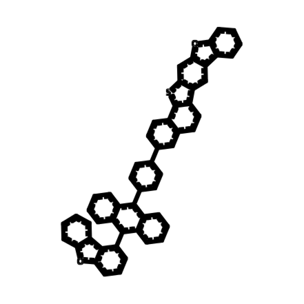 c1ccc2c(c1)oc1cc3sc4c5ccc(-c6ccc(-c7c8ccccc8c(-c8cccc9oc%10ccccc%10c89)c8ccccc78)cc6)cc5ccc4c3cc12